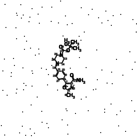 Cc1nc(C(N)=O)c(-c2ccc(CN3CCN(C(=O)OC(C)(C)C)CC3)cc2)o1